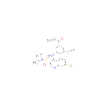 COC(=O)c1cc(Nc2c(S(=O)(=O)N(C)C)cnc3cc(Br)ccc23)cc(OC(C)C)c1